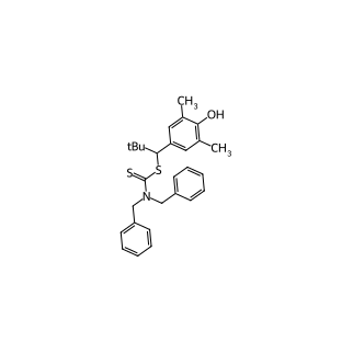 Cc1cc(C(SC(=S)N(Cc2ccccc2)Cc2ccccc2)C(C)(C)C)cc(C)c1O